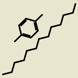 CCCCCCCCCCCCC.Cc1ccc(C)cc1